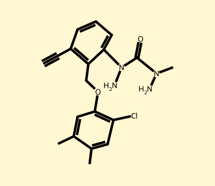 C#Cc1cccc(N(N)C(=O)N(C)N)c1COc1cc(C)c(C)cc1Cl